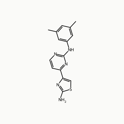 Cc1cc(C)cc(Nc2nccc(-c3csc(N)n3)n2)c1